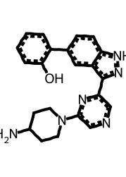 NC1CCN(c2cncc(-c3n[nH]c4ccc(-c5ccccc5O)cc34)n2)CC1